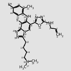 C=CCNc1nnc(-c2cn3c(CCCCN(C)C)nnc3c(F)c2Nc2ccc(I)cc2C)o1